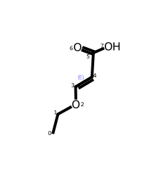 CCO/[C]=C/C(=O)O